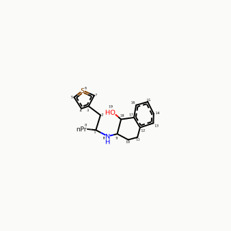 CCCC(Cc1ccsc1)NC1CCc2ccccc2C1O